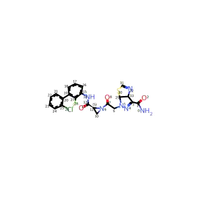 NC(=O)C1=NN(CC(=O)N2C[C@H]2C(=O)Nc2cccc(-c3ccccc3Cl)c2F)C2SC=NC12